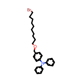 BrCCCCCCCCCCOCc1ccc(N(c2ccccc2)c2ccccc2)cc1